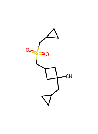 N#CC1(CC2CC2)CC(CS(=O)(=O)CC2CC2)C1